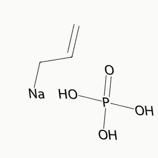 C=C[CH2][Na].O=P(O)(O)O